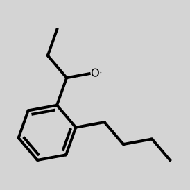 CCCCc1ccccc1C([O])CC